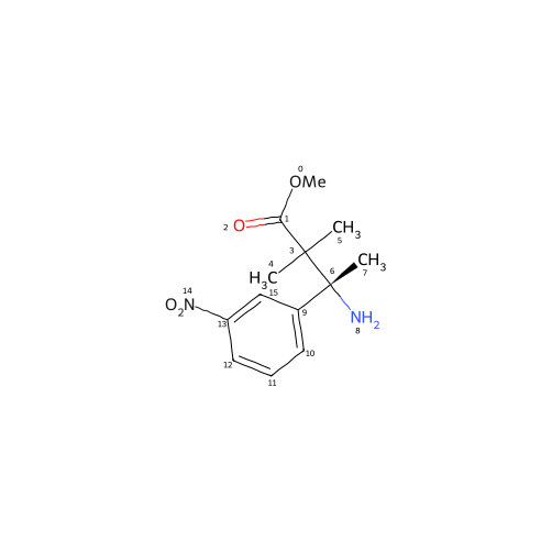 COC(=O)C(C)(C)[C@](C)(N)c1cccc([N+](=O)[O-])c1